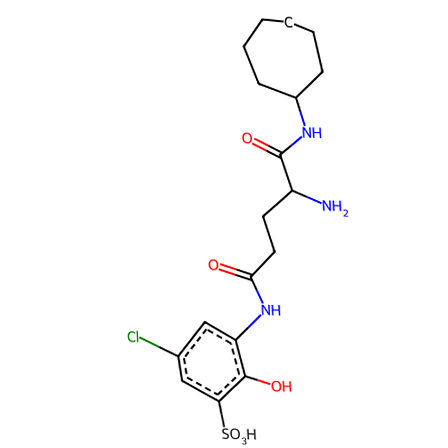 NC(CCC(=O)Nc1cc(Cl)cc(S(=O)(=O)O)c1O)C(=O)NC1CCCCCC1